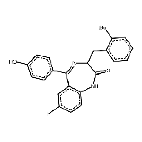 CC(C)(C)c1ccccc1CC1N=C(c2ccc(O)cc2)c2cc(I)ccc2NC1=O